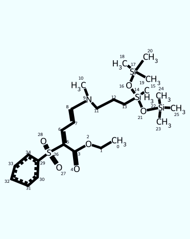 CCOC(=O)/C(=C\C=C\N(C)CCC[Si](C)(O[Si](C)(C)C)O[Si](C)(C)C)S(=O)(=O)c1ccccc1